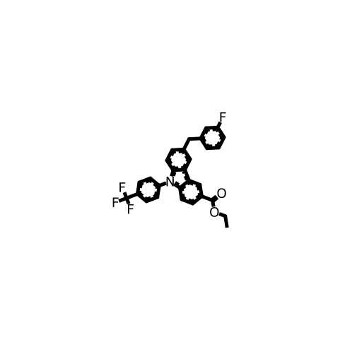 CCOC(=O)c1ccc2c(c1)c1cc(Cc3cccc(F)c3)ccc1n2-c1ccc(C(F)(F)F)cc1